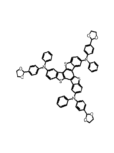 c1ccc(N(c2ccc(C3OCCO3)cc2)c2ccc3sc4c(c3c2)c2sc3ccc(N(c5ccccc5)c5ccc(C6OCCO6)cc5)cc3c2c2sc3ccc(N(c5ccccc5)c5ccc(C6OCCO6)cc5)cc3c42)cc1